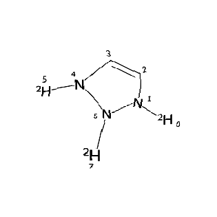 [2H]N1C=CN([2H])N1[2H]